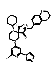 NC(=O)C1(C(=O)NCc2ccc3c(c2)OCCO3)CN(c2cc(Cl)nc(-n3ccnc3)n2)CCN1C1CCCCC1